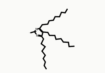 [CH2]c1nc(CCCCCCCCC)c(CCCCCCCCC)c(CCCCCCCCC)n1